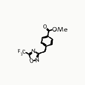 COC(=O)c1ccc(Cc2noc(C(F)(F)F)n2)cc1